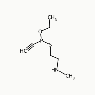 C#CP(OCC)SCCNC